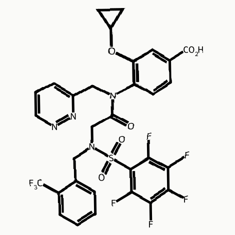 O=C(O)c1ccc(N(Cc2cccnn2)C(=O)CN(Cc2ccccc2C(F)(F)F)S(=O)(=O)c2c(F)c(F)c(F)c(F)c2F)c(OC2CC2)c1